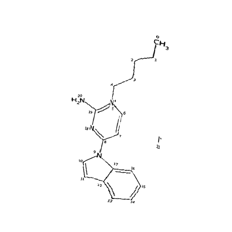 CCCCC[n+]1ccc(-n2ccc3ccccc32)nc1N.[I-]